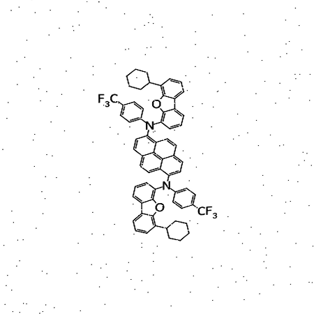 FC(F)(F)c1ccc(N(c2ccc3ccc4c(N(c5ccc(C(F)(F)F)cc5)c5cccc6c5oc5c(C7CCCCC7)cccc56)ccc5ccc2c3c54)c2cccc3c2oc2c(C4CCCCC4)cccc23)cc1